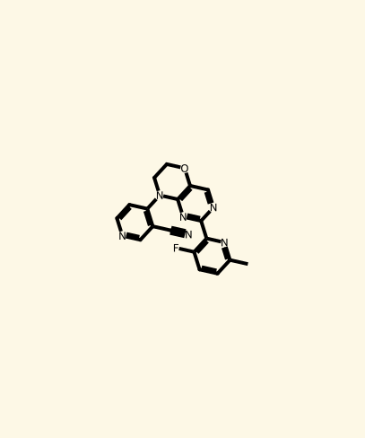 Cc1ccc(F)c(-c2ncc3c(n2)N(c2ccncc2C#N)CCO3)n1